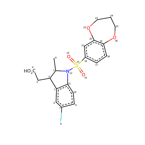 CC1C(CC(=O)O)c2cc(F)ccc2N1S(=O)(=O)c1ccc2c(c1)OCCCO2